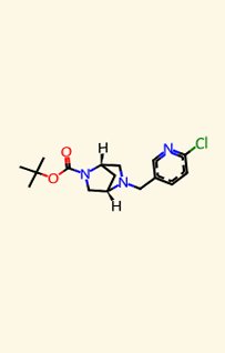 CC(C)(C)OC(=O)N1C[C@@H]2C[C@H]1CN2Cc1ccc(Cl)nc1